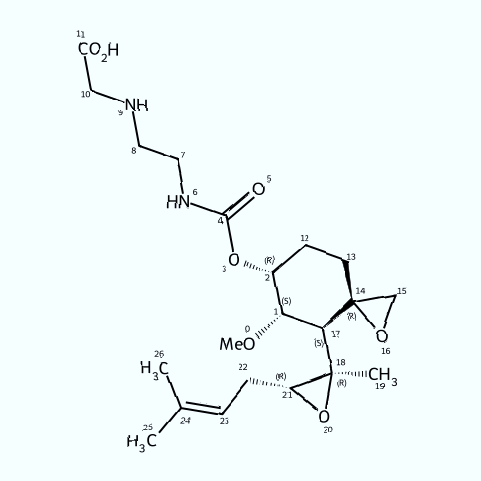 CO[C@@H]1[C@H](OC(=O)NCCNCC(=O)O)CC[C@]2(CO2)[C@H]1[C@@]1(C)O[C@@H]1CC=C(C)C